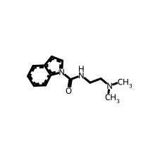 CN(C)CCNC(=O)n1ccc2ccccc21